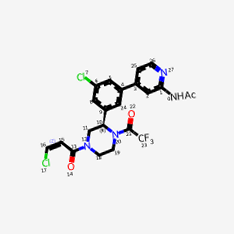 CC(=O)Nc1cc(-c2cc(Cl)cc([C@@H]3CN(C(=O)/C=C\Cl)CCN3C(=O)C(F)(F)F)c2)ccn1